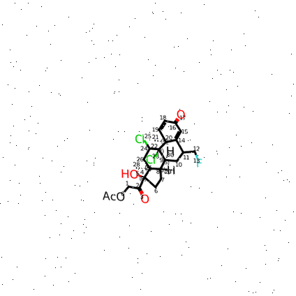 CC(=O)OCC(=O)[C@@]1(O)CC[C@H]2[C@@H]3CC(CF)C4=CC(=O)C=C[C@]4(C)[C@@]3(Cl)C(Cl)C[C@@]21C